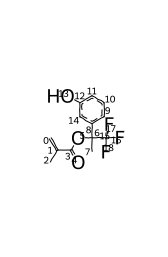 C=C(C)C(=O)OC(C)(c1cccc(O)c1)C(F)(F)F